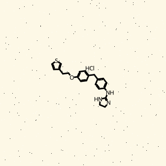 Cl.c1cc(CCOc2ccc(Cc3ccc(NC4=NCCN4)cc3)cc2)cs1